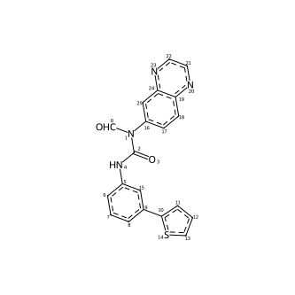 O=CN(C(=O)Nc1cccc(-c2cccs2)c1)c1ccc2nccnc2c1